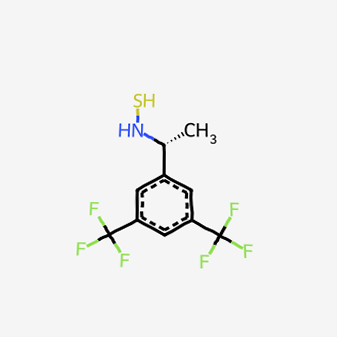 C[C@@H](NS)c1cc(C(F)(F)F)cc(C(F)(F)F)c1